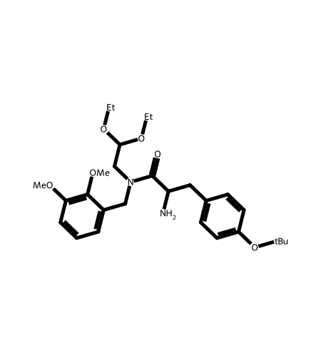 CCOC(CN(Cc1cccc(OC)c1OC)C(=O)C(N)Cc1ccc(OC(C)(C)C)cc1)OCC